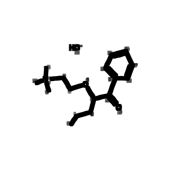 CCCC(OCC[N+](C)(C)C)C(=O)c1ccccc1.[OH-]